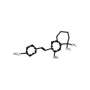 CCCCc1cc2c(cc1C=Cc1ccc(C(=O)O)cc1)CCCCC2(C)C